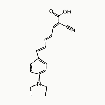 CCN(CC)c1ccc(/C=C/C=C/C=C(\C#N)C(=O)O)cc1